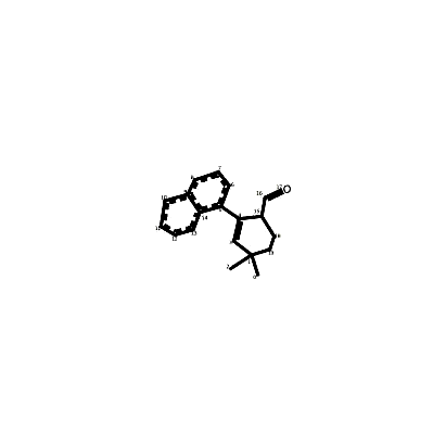 CC1(C)C=C(c2cccc3ccccc23)C(C=O)CC1